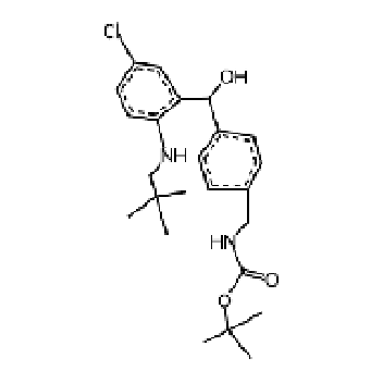 CC(C)(C)CNc1ccc(Cl)cc1C(O)c1ccc(CNC(=O)OC(C)(C)C)cc1